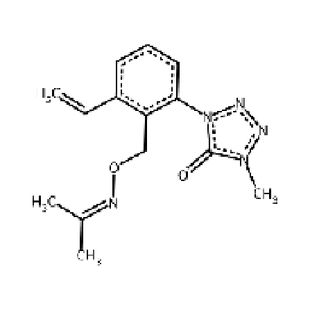 C=Cc1cccc(-n2nnn(C)c2=O)c1CON=C(C)C